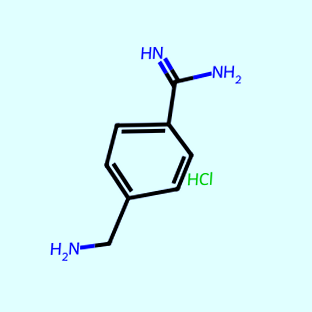 Cl.N=C(N)c1ccc(CN)cc1